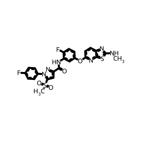 CNc1nc2ccc(Oc3ccc(F)c(NC(=O)c4cc(S(C)(=O)=O)n(-c5ccc(F)cc5)n4)c3)nc2s1